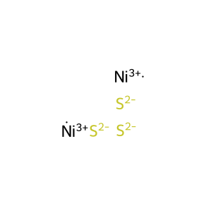 [Ni+3].[Ni+3].[S-2].[S-2].[S-2]